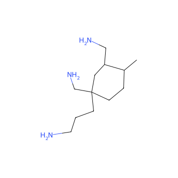 CC1CCC(CN)(CCCN)CC1CN